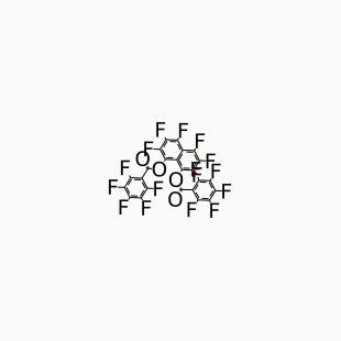 O=C(Oc1c(F)c(F)c(F)c2c(F)c(F)c(F)c(OC(=O)c3c(F)c(F)c(F)c(F)c3F)c12)c1c(F)c(F)c(F)c(F)c1F